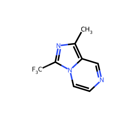 Cc1nc(C(F)(F)F)n2ccncc12